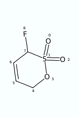 O=S1(=O)OCC=CC1F